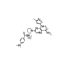 Cc1cc(Nc2nc(N3CCC[C@@H](NC(=O)c4ccc(N(C)C)cc4)[C@H]3CO)cnc2C(N)=O)sn1